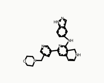 C1=Cc2cc(-c3cncc(CN4CCOCC4)c3)nc(Nc3ccc4[nH]ncc4c3)c2CN1